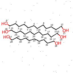 OCCCCCCCCCCCCO.OCCCCCCCCCCCO.OCCCCCCCCCCO